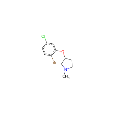 CN1CCC(Oc2cc(Cl)ccc2Br)C1